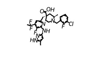 Cc1cc(Nc2nc(C[C@@]3(C(=O)O)CCN(Cc4cccc(Cl)c4F)[C@H](C)C3)cc(C(C)(F)F)c2F)n[nH]1